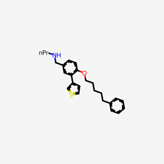 [CH2]CCNCc1ccc(OCCCCCc2ccccc2)c(-c2ccsc2)c1